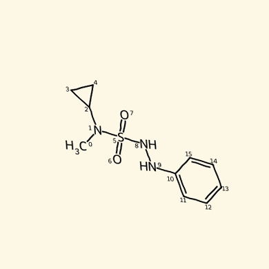 CN(C1CC1)S(=O)(=O)NNc1ccccc1